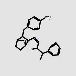 CC(c1ccccc1)C(O)/C=C\C1C2CCC(O2)C1Cc1ccc(C(=O)O)cc1